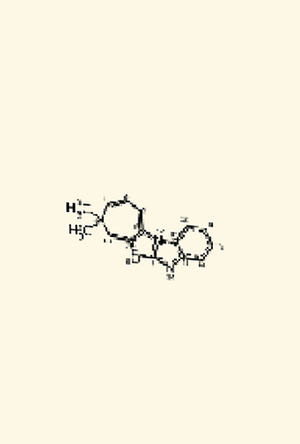 CC1(C)C=CC=c2c(oc3nc4ccccc4n23)=C1